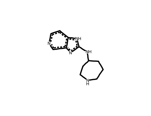 c1cc2[nH]c(NC3CCCNCC3)nc2cn1